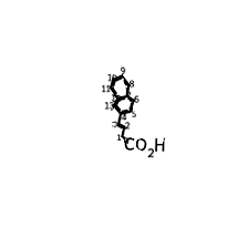 O=C(O)C/C=C/c1ccc2ccccc2c1